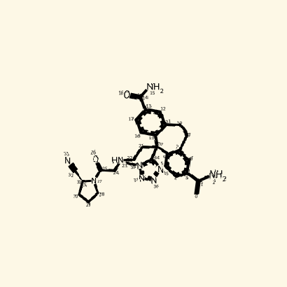 C=C(N)c1ccc2c(c1)CCc1cc(C(N)=O)ccc1C2(CCNCC(=O)N1CCC[C@H]1C#N)c1nnnn1C